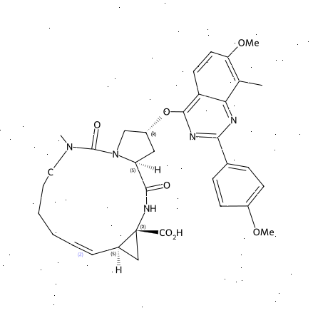 COc1ccc(-c2nc(O[C@@H]3C[C@H]4C(=O)N[C@]5(C(=O)O)C[C@H]5/C=C\CCCCN(C)C(=O)N4C3)c3ccc(OC)c(C)c3n2)cc1